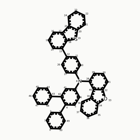 c1ccc(-c2ccc(N(c3ccc(-c4cccc5c4sc4ccccc45)cc3)c3cccc4oc5ccccc5c34)cc2-c2ccccc2)cc1